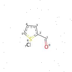 O=Cc1cccs1.[C]